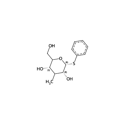 CC1[C@H](O)C(CO)O[C@H](Sc2ccccc2)[C@@H]1O